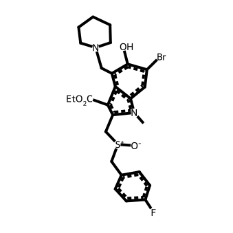 CCOC(=O)c1c(C[S+]([O-])Cc2ccc(F)cc2)n(C)c2cc(Br)c(O)c(CN3CCCCC3)c12